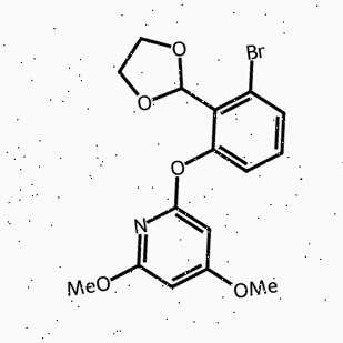 COc1cc(OC)nc(Oc2cccc(Br)c2C2OCCO2)c1